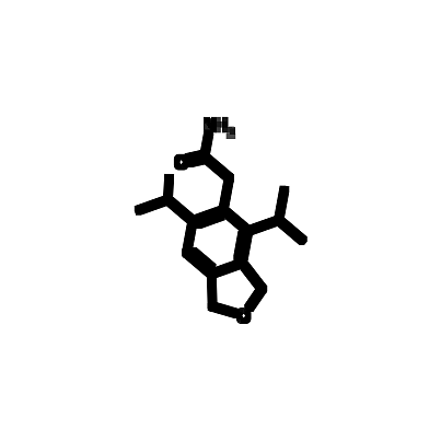 CC(C)c1cc2c(c(C(C)C)c1CC(N)=O)COC2